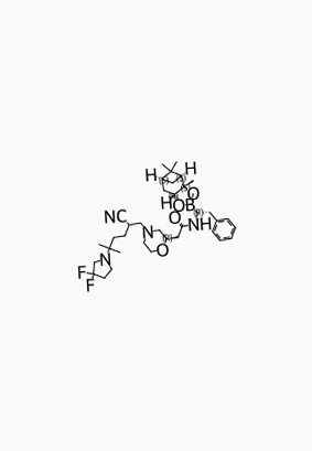 CC1(C)[C@@H]2C[C@H]3OB([C@H](Cc4ccccc4)NC(=O)C[C@@H]4CN(CC(C#N)CCC(C)(C)N5CCC(F)(F)C5)CCO4)O[C@@]3(C)[C@H]1C2